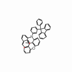 CC1(C)c2ccccc2Oc2cccc(N(c3cccc(C4(c5ccccc5)c5ccccc5-c5ccccc54)c3)c3cccc4ccccc34)c21